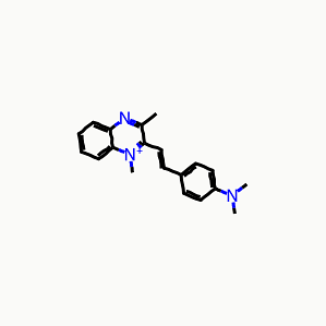 Cc1nc2ccccc2[n+](C)c1/C=C/c1ccc(N(C)C)cc1